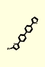 CC(C)c1ccc(-c2ccc(-c3ccc(-c4cccs4)cc3)cc2)s1